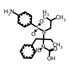 CCC(Cc1ccccc1)(N(O)C(=O)O)N(CC(C)C)S(=O)(=O)c1ccc(N)cc1